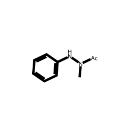 CC(=O)N(C)Nc1ccccc1